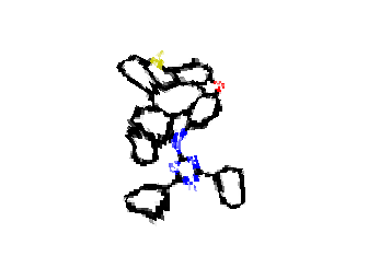 c1ccc(-c2nc(-c3ccccc3)nc(-n3c4ccc5oc6ccc7sc8cccc9c%10cc%11ccccc%11c3c%10c4c5c6c7c89)n2)cc1